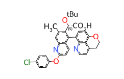 Cc1cc2nc(Oc3ccc(Cl)cc3)ccc2c(-c2ccc3c4c(ccnc24)CCO3)c1[C@H](OC(C)(C)C)C(=O)O